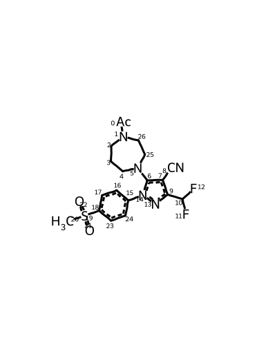 CC(=O)N1CCCN(c2c(C#N)c(C(F)F)nn2-c2ccc(S(C)(=O)=O)cc2)CC1